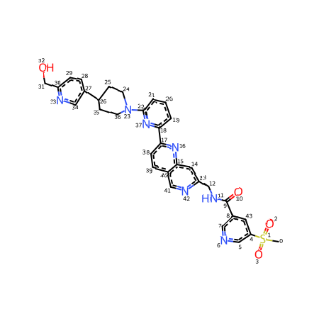 CS(=O)(=O)c1cncc(C(=O)NCc2cc3nc(-c4cccc(N5CCC(c6ccc(CO)nc6)CC5)n4)ccc3cn2)c1